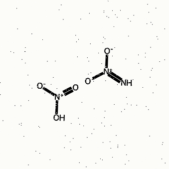 N=[N+]([O-])[O-].O=[N+]([O-])O